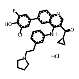 Cl.O=C(c1cnc2ccc(-c3cc(F)c(O)c(Cl)c3)cc2c1Nc1cccc(CCN2CCCC2)c1)C1CC1